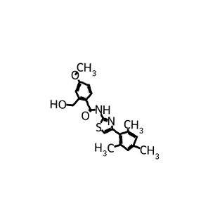 COc1ccc(C(=O)Nc2nc(-c3c(C)cc(C)cc3C)cs2)c(CO)c1